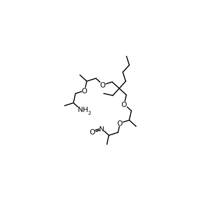 CCCCC(CC)(COCC(C)OCC(C)N)COCC(C)OCC(C)N=O